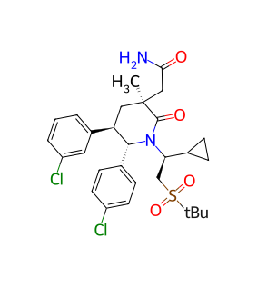 CC(C)(C)S(=O)(=O)C[C@H](C1CC1)N1C(=O)[C@](C)(CC(N)=O)C[C@H](c2cccc(Cl)c2)[C@H]1c1ccc(Cl)cc1